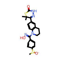 C[S+]([O-])c1ccc(C(=NO)N2CCCc3cc(C4=NNC(=O)SC4(C)C)ccc32)cc1